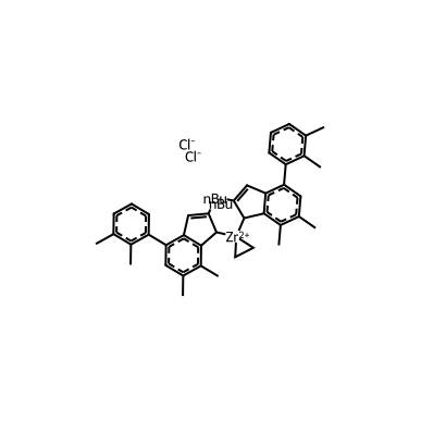 CCCCC1=Cc2c(-c3cccc(C)c3C)cc(C)c(C)c2[CH]1[Zr+2]1([CH]2C(CCCC)=Cc3c(-c4cccc(C)c4C)cc(C)c(C)c32)[CH2][CH2]1.[Cl-].[Cl-]